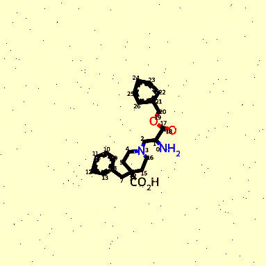 NC(CN1CCC(Cc2ccccc2)(C(=O)O)CC1)C(=O)OCc1ccccc1